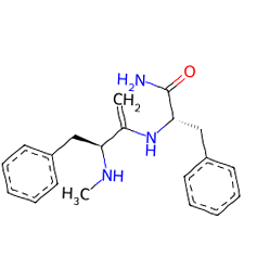 C=C(N[C@@H](Cc1ccccc1)C(N)=O)[C@H](Cc1ccccc1)NC